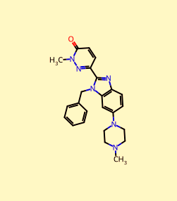 CN1CCN(c2ccc3nc(-c4ccc(=O)n(C)n4)n(Cc4ccccc4)c3c2)CC1